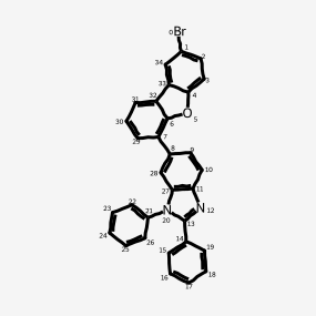 Brc1ccc2oc3c(-c4ccc5nc(-c6ccccc6)n(-c6ccccc6)c5c4)cccc3c2c1